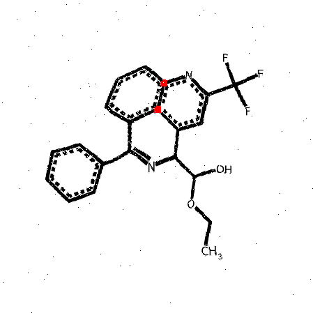 CCOC(O)C(N=C(c1ccccc1)c1ccccc1)c1cc(C(F)(F)F)ncn1